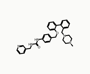 CN1CCN(Cc2ccccc2-c2ccccc2OCc2ccc(NC(=O)NCc3cccnc3)cc2)CC1